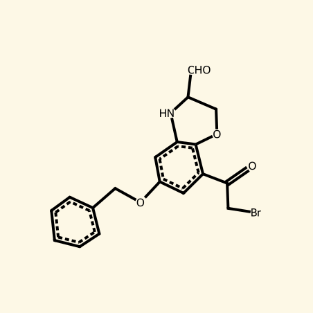 O=CC1COc2c(cc(OCc3ccccc3)cc2C(=O)CBr)N1